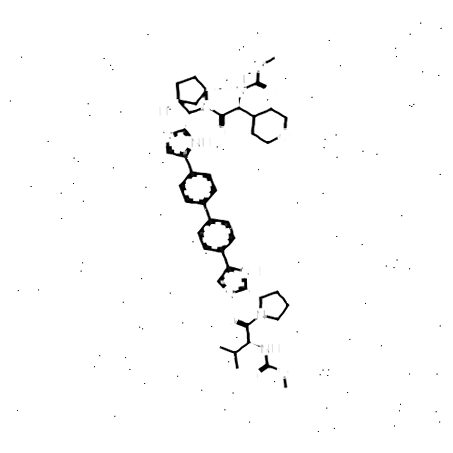 COC(=O)N[C@H](C(=O)N1CCC[C@H]1c1ncc(-c2ccc(-c3ccc(-c4cnc([C@@H]5[C@H]6CC[C@H](C6)N5C(=O)[C@@H](NC(=O)OC)C5CCOCC5)[nH]4)cc3)cc2)[nH]1)C(C)C